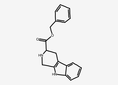 O=C(OCc1ccccc1)C1Cc2c([nH]c3ccccc23)CN1